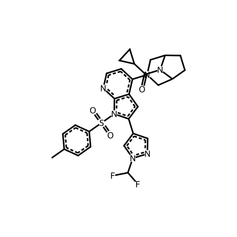 Cc1ccc(S(=O)(=O)n2c(-c3cnn(C(F)F)c3)cc3c(N4CC5CCC(C4)N5C(=O)C4CC4)ccnc32)cc1